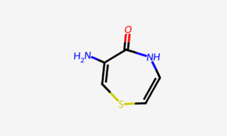 NC1=CSC=CNC1=O